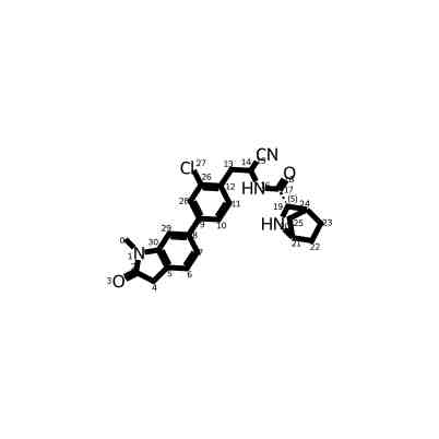 CN1C(=O)Cc2ccc(-c3ccc(CC(C#N)NC(=O)[C@H]4NC5CCC4C5)c(Cl)c3)cc21